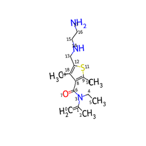 C=C(C)N(CC)C(=O)c1c(C)sc(CNCCN)c1C